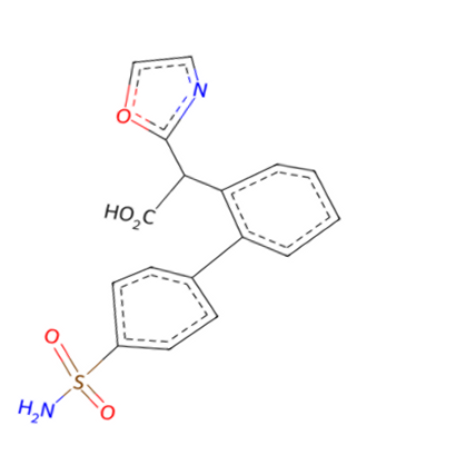 NS(=O)(=O)c1ccc(-c2ccccc2C(C(=O)O)c2ncco2)cc1